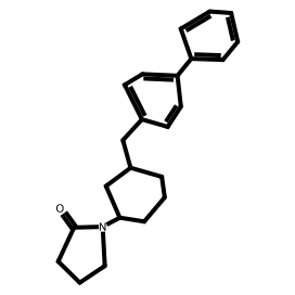 O=C1CCCN1C1CCCC(Cc2ccc(-c3ccccc3)cc2)C1